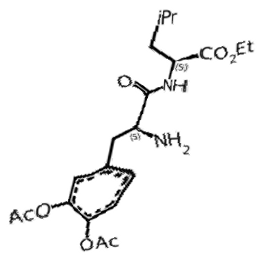 CCOC(=O)[C@H](CC(C)C)NC(=O)[C@@H](N)Cc1ccc(OC(C)=O)c(OC(C)=O)c1